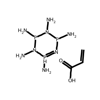 C=CC(=O)O.NN1P(N)N=[PH](N)N(N)P1N